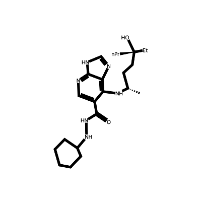 CCC[C@@](O)(CC)CC[C@H](C)Nc1c(C(=O)NNC2CCCCC2)cnc2[nH]cnc12